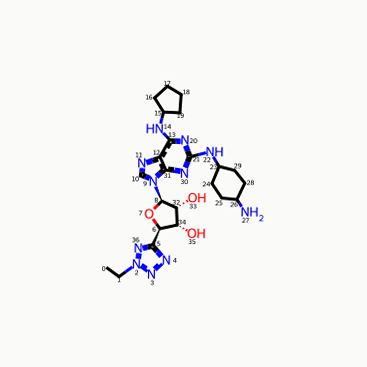 CCn1nnc([C@H]2O[C@@H](n3cnc4c(NC5CCCC5)nc(NC5CCC(N)CC5)nc43)[C@H](O)[C@@H]2O)n1